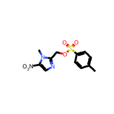 Cc1ccc(S(=O)(=O)OCc2ncc([N+](=O)[O-])n2C)cc1